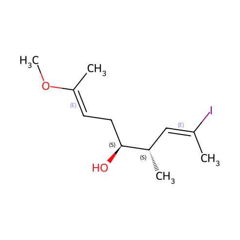 CO/C(C)=C/C[C@H](O)[C@@H](C)/C=C(\C)I